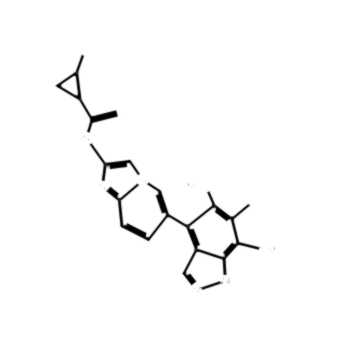 CSc1c(F)c(SC)c2[nH]ncc2c1-c1ccc2nc(NC(=O)C3CC3F)cn2c1